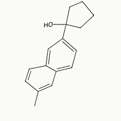 Cc1ccc2cc(C3(O)CCCC3)ccc2c1